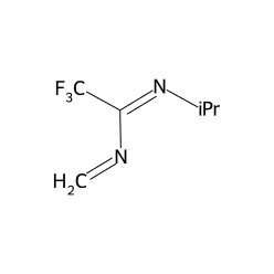 C=N/C(=N\C(C)C)C(F)(F)F